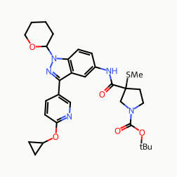 CSC1(C(=O)Nc2ccc3c(c2)c(-c2ccc(OC4CC4)nc2)nn3C2CCCCO2)CCN(C(=O)OC(C)(C)C)C1